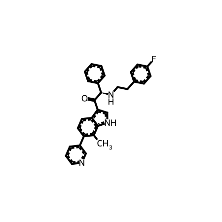 Cc1c(-c2cccnc2)ccc2c(C(=O)[C@H](NCCc3ccc(F)cc3)c3ccccc3)c[nH]c12